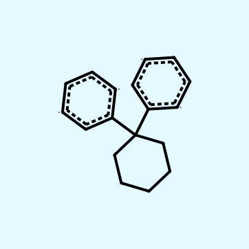 [c]1cc[c]c(C2(c3[c]cc[c]c3)CCCCC2)c1